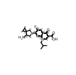 CC(C)Cn1cc(C(=O)O)c(=O)c2cc(F)c(N3CC(N)C4(CC4)C3)nc21